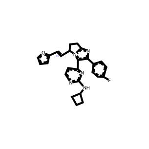 Fc1ccc(-c2nc3n(c2-c2ccnc(NC4CCC4)n2)C(/C=C/c2ccco2)CC3)cc1